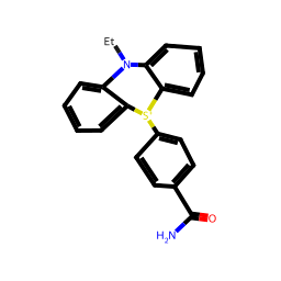 CCN1c2ccccc2[S+](c2ccc(C(N)=O)cc2)c2ccccc21